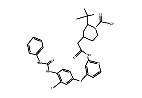 CC(C)(C)C1CC(CC(=O)Nc2cc(Oc3ccc(NC(=O)Nc4ccccc4)c(Cl)c3)ccn2)CCN1C(=O)O